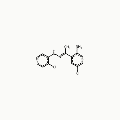 C/C(=N\Nc1ccccc1Cl)c1cc(Cl)ccc1N